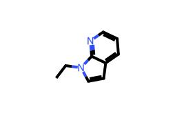 CCn1ccc2cccnc21